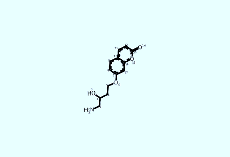 NCC(O)CCOc1ccc2ccc(=O)oc2c1